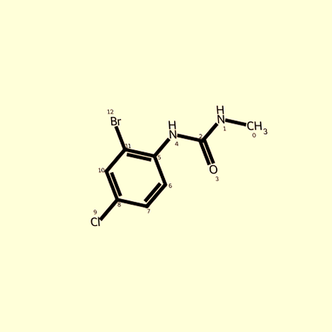 CNC(=O)Nc1ccc(Cl)cc1Br